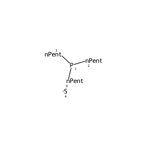 CCCCCP(CCCCC)CCCCC.[S]